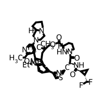 CCn1c(-c2cc(N3CCN4CCCC[C@@H]4C3)cnc2[C@H](C)OC)c2c3cc(ccc31)-c1csc(n1)C[C@H](NC(=O)[C@H]1C[C@@H]1C(F)F)C(=O)N1CCC[C@H](N1)C(=O)OCC(C)(C)C2